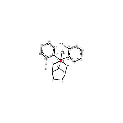 N#CC1CC2CCC(C1)N2C(c1ccccc1F)c1ccccc1F